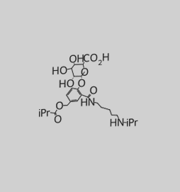 CC(C)NCCCCCNC(=O)c1cc(COC(=O)C(C)C)ccc1O[C@H]1OC(C(=O)O)[C@@H](O)C(O)[C@H]1O